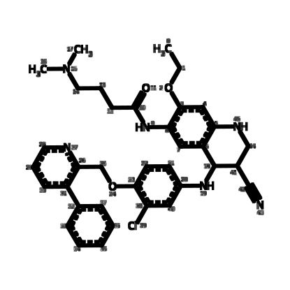 CCOc1cc2c(cc1NC(=O)CCCN(C)C)C(Nc1ccc(OCc3ncccc3-c3ccccc3)c(Cl)c1)C(C#N)CN2